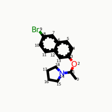 CC(Oc1ccc2cc(Br)ccc2c1)N1CCCC1